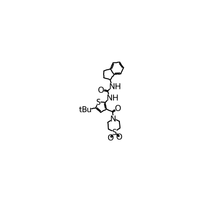 CC(C)(C)c1cc(C(=O)N2CCS(=O)(=O)CC2)c(NC(=O)NC2CCc3ccccc32)s1